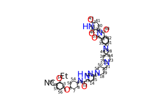 CCOc1cc(O[C@H]2CC[C@H](NC(=O)c3ccc(N4CCC(CN5CCC6(CC5)CN(c5ccc7c(c5)C(=O)N(C5CCC(=O)NC5=O)C7=O)C6)CC4)nn3)CC2)ccc1C#N